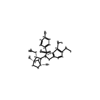 COc1ccc(CN(C2[C@H]3CC[C@H](C3)[C@@H]2CO)S(=O)(=O)c2ccc(Cl)cc2)cc1OC